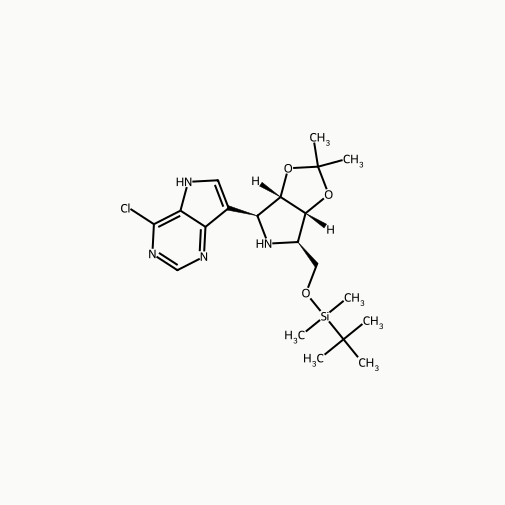 CC1(C)O[C@@H]2[C@H](O1)[C@@H](CO[Si](C)(C)C(C)(C)C)N[C@H]2c1c[nH]c2c(Cl)ncnc12